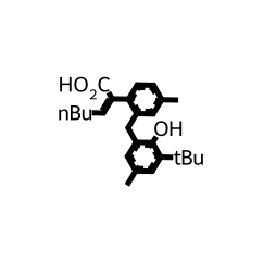 CCCCC=C(C(=O)O)c1ccc(C)cc1Cc1cc(C)cc(C(C)(C)C)c1O